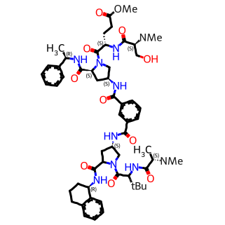 CN[C@@H](C)C(=O)NC(C(=O)N1C[C@@H](NC(=O)c2cccc(C(=O)N[C@H]3C[C@@H](C(=O)N[C@H](C)c4ccccc4)N(C(=O)[C@H](CCC(=O)OC)NC(=O)[C@H](CO)NC)C3)c2)CC1C(=O)N[C@@H]1CCCc2ccccc21)C(C)(C)C